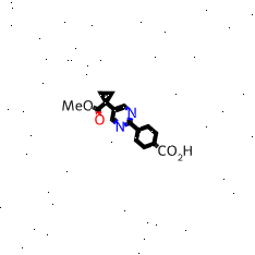 COC(=O)C1(c2cnc(C3CCC(C(=O)O)CC3)nc2)CC1